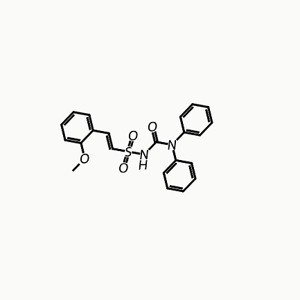 COc1ccccc1/C=C/S(=O)(=O)NC(=O)N(c1ccccc1)c1ccccc1